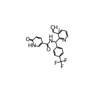 C=Cc1cccnc1C(NC(=O)c1ccc(=O)[nH]c1)c1ccc(C(F)(F)F)cc1